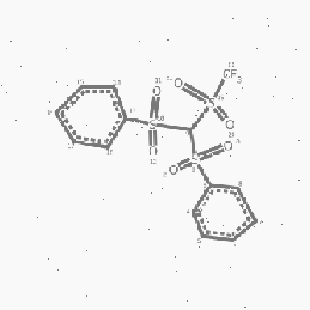 O=S(=O)(c1ccccc1)C(S(=O)(=O)c1ccccc1)S(=O)(=O)C(F)(F)F